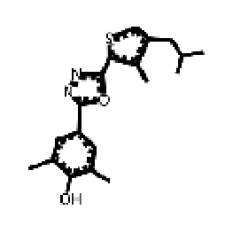 Cc1cc(-c2nnc(-c3scc(CC(C)C)c3C)o2)cc(C)c1O